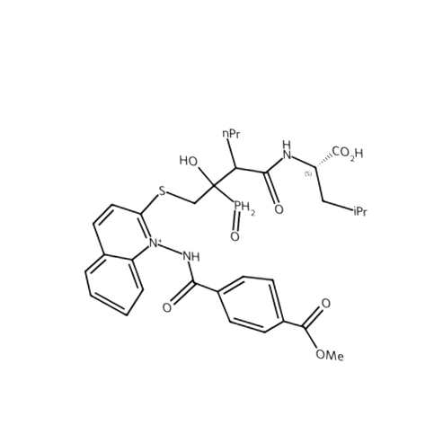 CCCC(C(=O)N[C@@H](CC(C)C)C(=O)O)C(O)(CSc1ccc2ccccc2[n+]1NC(=O)c1ccc(C(=O)OC)cc1)[PH2]=O